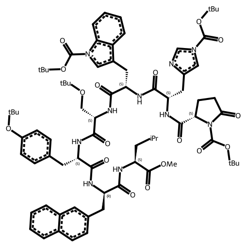 COC(=O)[C@H](CC(C)C)NC(=O)[C@@H](Cc1ccc2ccccc2c1)NC(=O)[C@H](Cc1ccc(OC(C)(C)C)cc1)NC(=O)[C@H](COC(C)(C)C)NC(=O)[C@H](Cc1cn(C(=O)OC(C)(C)C)c2ccccc12)NC(=O)[C@H](Cc1cn(C(=O)OC(C)(C)C)cn1)NC(=O)[C@@H]1CCC(=O)N1C(=O)OC(C)(C)C